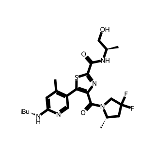 CC[C@@H](C)Nc1cc(C)c(-c2sc(C(=O)N[C@H](C)CO)nc2C(=O)N2CC(F)(F)C[C@@H]2C)cn1